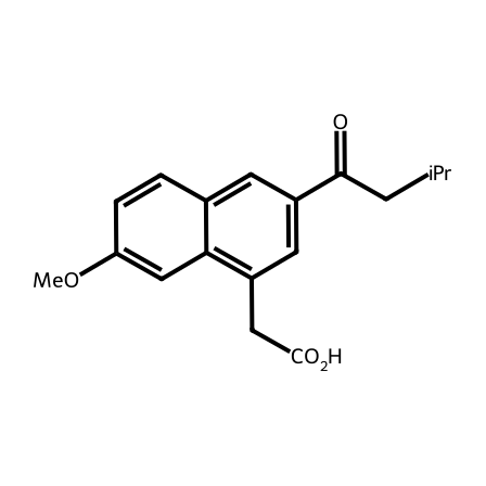 COc1ccc2cc(C(=O)CC(C)C)cc(CC(=O)O)c2c1